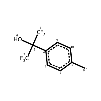 [CH2]c1ccc(C(O)(C(F)(F)F)C(F)(F)F)cc1